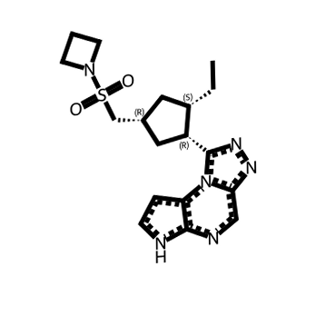 CC[C@H]1C[C@@H](CS(=O)(=O)N2CCC2)C[C@H]1c1nnc2cnc3[nH]ccc3n12